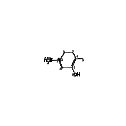 BN1CCC(C)=C(O)C1